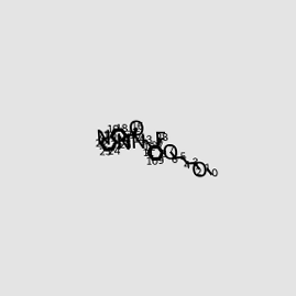 CCOCCCCOc1cccc(CNC(=O)c2ccc3ncccc3n2)c1F